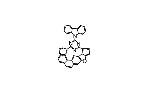 c1ccc(-c2nc(-c3cccc4oc5cc6ccc7ccccc7c6cc5c34)nc(-n3c4ccccc4c4ccccc43)n2)cc1